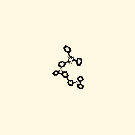 c1ccc(C2=NC(c3cccc(-n4c5ccccc5c5cc(-c6cccc(-n7c8ccccc8c8ccccc87)c6)ccc54)c3)N3C(c4ccccc4)N23)cc1